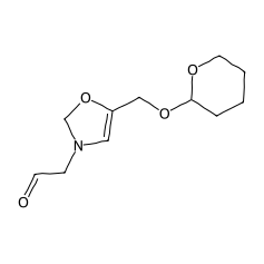 O=CCN1C=C(COC2CCCCO2)OC1